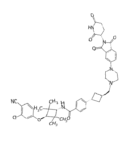 CC1(C)[C@H](NC(=O)c2ccc([C@H]3C[C@H](CN4CCN(c5ccc6c(c5)C(=O)N(C5CCC(=O)NC5=O)C6=O)CC4)C3)cc2)C(C)(C)[C@H]1Oc1ccc(C#N)c(Cl)c1